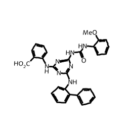 COc1ccccc1NC(=O)Nc1nc(Nc2ccccc2C(=O)O)nc(Nc2ccccc2-c2ccccc2)n1